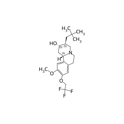 COc1cc2c(cc1OCC(F)(F)F)CCN1C[C@H](CC(C)(C)C)[C@@H](O)C[C@@H]21